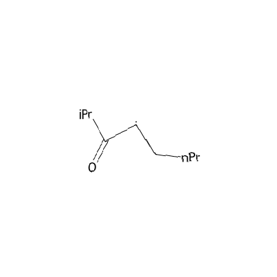 CCCC[CH]C(=O)C(C)C